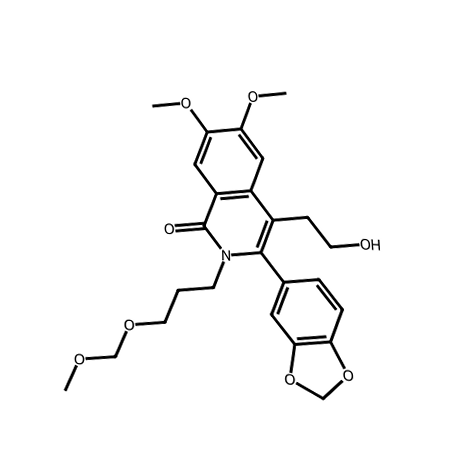 COCOCCCn1c(-c2ccc3c(c2)OCO3)c(CCO)c2cc(OC)c(OC)cc2c1=O